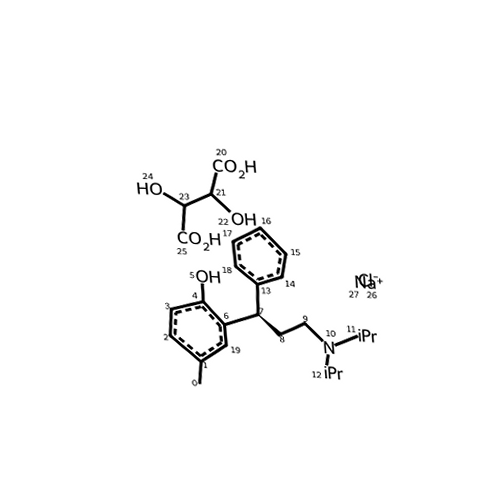 Cc1ccc(O)c([C@H](CCN(C(C)C)C(C)C)c2ccccc2)c1.O=C(O)C(O)C(O)C(=O)O.[Cl-].[Na+]